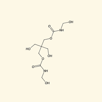 O=C(NCO)OCC(CO)(CO)COC(=O)NCO